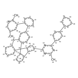 Cc1cnc(C)c(-c2ccccc2-c2ccc3c(c2)Sc2ccccc2C32c3ccccc3-c3cc(-c4nc(C)nc(-c5ccc(-c6ccccc6)cc5)n4)ccc32)c1